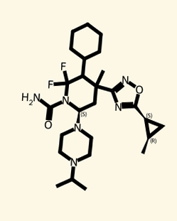 CC(C)N1CCN([C@@H]2CC(C)(c3noc([C@H]4C[C@H]4C)n3)C(C3CCCCC3)C(F)(F)N2C(N)=O)CC1